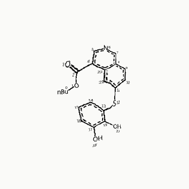 CCCCOC(=O)c1cncc2ccc(Sc3cccc(O)c3O)cc12